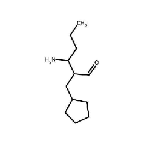 [CH2]CCC(N)C(C=O)CC1CCCC1